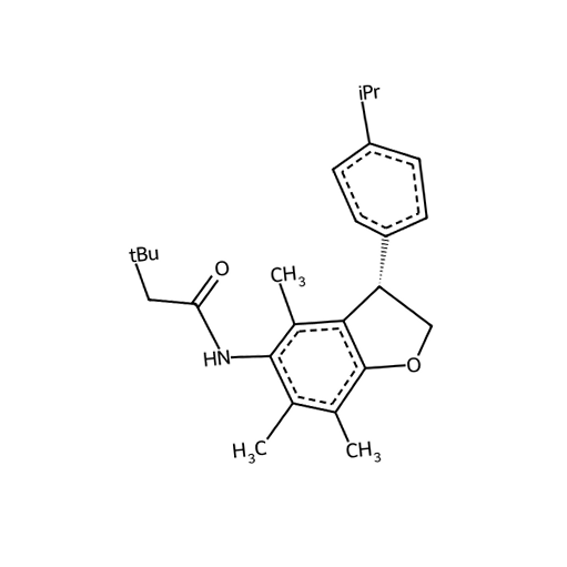 Cc1c(C)c2c(c(C)c1NC(=O)CC(C)(C)C)[C@H](c1ccc(C(C)C)cc1)CO2